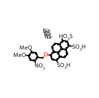 COc1cc(COc2cc(S(=O)(=O)O)c3ccc4c(S(=O)(=O)O)cc(S(=O)(=O)O)c5ccc2c3c54)c([N+](=O)[O-])cc1OC.[Na].[Na].[Na]